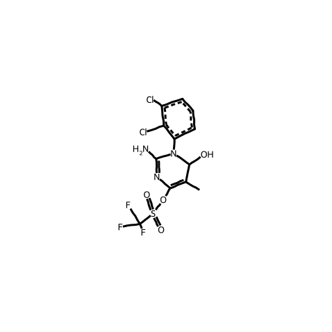 CC1=C(OS(=O)(=O)C(F)(F)F)N=C(N)N(c2cccc(Cl)c2Cl)C1O